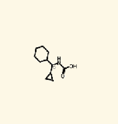 O=C(O)N[C@H](C1CCCCC1)C1CC1